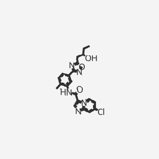 CCC(O)Cc1nc(-c2ccc(C)c(NC(=O)c3cnc4cc(Cl)ccn34)c2)no1